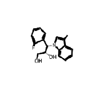 Cc1cn([C@@H](c2ccccc2F)[C@H](O)CO)c2ccccc12